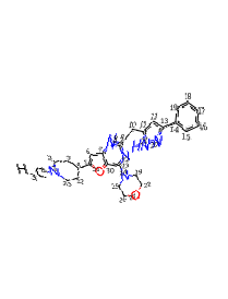 CN1CCC(c2cc3nc(Cc4cc(-c5ccccc5)n[nH]4)nc(N4CCOCC4)c3o2)CC1